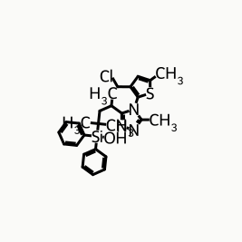 Cc1cc(CCl)c(-n2c(C)nnc2C(C)CC(C)(C)[Si](O)(c2ccccc2)c2ccccc2)s1